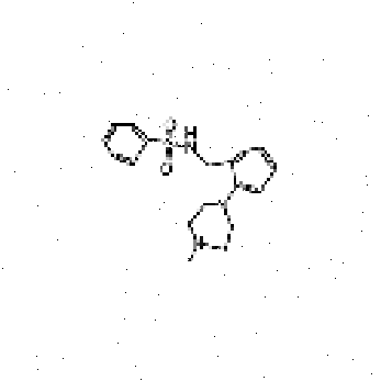 CN1CCN(c2ccccc2CNS(=O)(=O)c2ccccc2)CC1